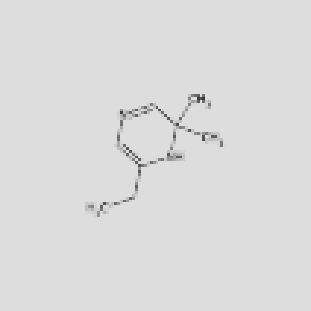 CCC1=CN=CC(C)(C)N1